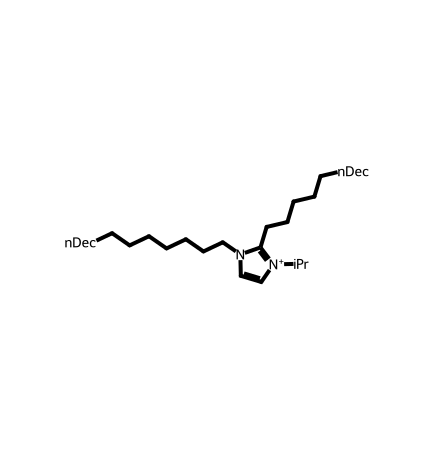 CCCCCCCCCCCCCCCCCn1cc[n+](C(C)C)c1CCCCCCCCCCCCCCC